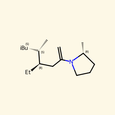 C=C(C[C@@H](CC)[C@@H](C)[C@@H](C)CC)N1CCC[C@H]1C